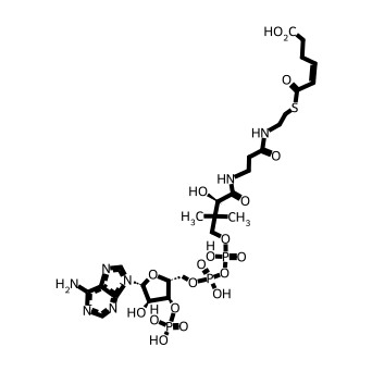 CC(C)(COP(=O)(O)OP(=O)(O)OC[C@H]1O[C@@H](n2cnc3c(N)ncnc32)[C@H](O)[C@@H]1OP(=O)(O)O)[C@@H](O)C(=O)NCCC(=O)NCCSC(=O)/C=C\CCC(=O)O